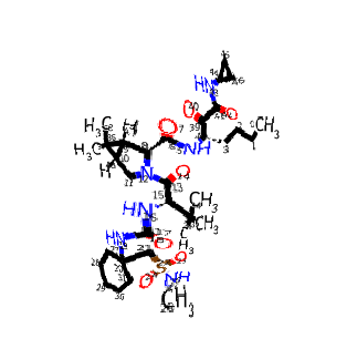 CCCC[C@H](NC(=O)[C@@H]1[C@@H]2[C@H](CN1C(=O)[C@@H](NC(=O)NC1(CS(=O)(=O)NC)CCCCC1)C(C)(C)C)C2(C)C)C(=O)C(=O)NC1CC1